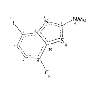 CNc1nc2c(I)ccc(F)c2s1